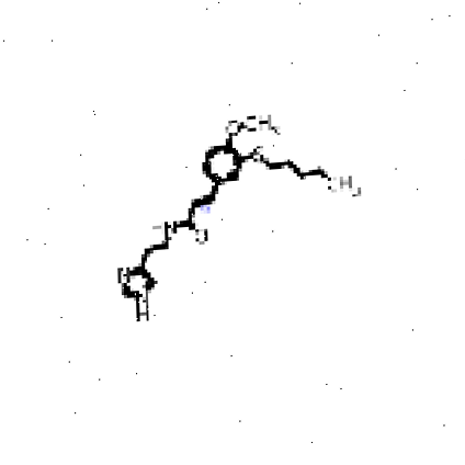 CCCCCSc1cc(/C=C/C(=O)NCCc2c[nH]cn2)ccc1OC